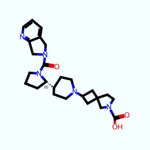 O=C(O)N1CCC2(CC(N3CCC([C@@H]4CCCN4C(=O)N4Cc5cccnc5C4)CC3)C2)C1